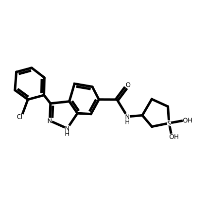 O=C(NC1CCS(O)(O)C1)c1ccc2c(-c3ccccc3Cl)n[nH]c2c1